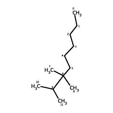 CCCCCCC(C)(C)[C](C)C